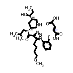 CCC(O)[C@H]1CNC[C@@H](N(CC(C)C)C(=O)c2nnn(-c3ccccc3F)c2CCCCOC)C1.O=C(O)/C=C/C(=O)O